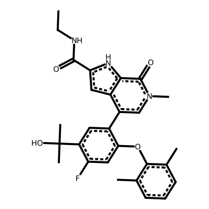 CCNC(=O)c1cc2c(-c3cc(C(C)(C)O)c(F)cc3Oc3c(C)cccc3C)cn(C)c(=O)c2[nH]1